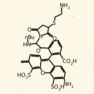 C=c1ccc2c(c1S(=O)(=O)O)Oc1c(ccc(N)c1S(=O)(=O)O)C=2c1c(C(=O)O)cccc1C(=O)C(NCCCC)N1C(=O)CC(SCCN)C1=O